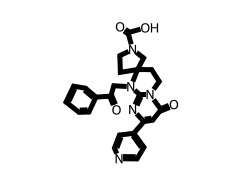 O=C(CN1c2nc(-c3ccncc3)cc(=O)n2CCC12CCN(C(=O)O)C2)c1ccccc1